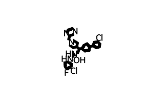 OC(NCC(c1ccc(-c2cccc(Cl)c2)cc1)C1CCN(Cc2cnccn2)CC1)Nc1ccc(F)c(Cl)c1